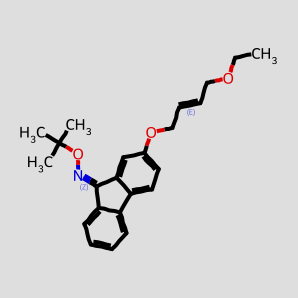 CCOC/C=C/COc1ccc2c(c1)/C(=N\OC(C)(C)C)c1ccccc1-2